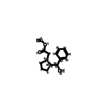 CC(C)(C)OC(=O)CN1CCC[C@@H]1[C@H](O)c1ccccc1